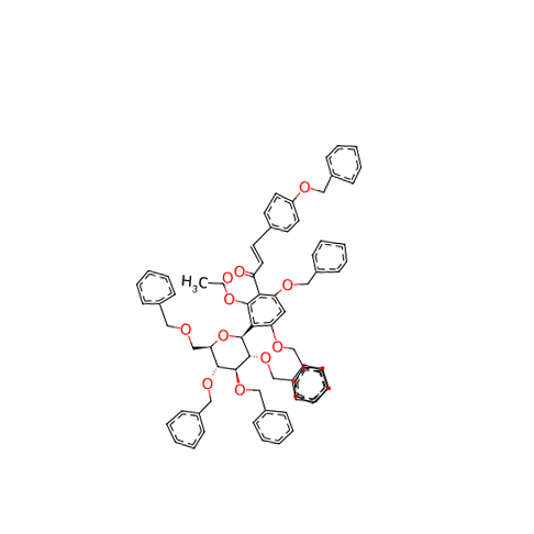 CC(=O)Oc1c(C(=O)C=Cc2ccc(OCc3ccccc3)cc2)c(OCc2ccccc2)cc(OCc2ccccc2)c1[C@@H]1O[C@H](COCc2ccccc2)[C@@H](OCc2ccccc2)[C@H](OCc2ccccc2)[C@H]1OCc1ccccc1